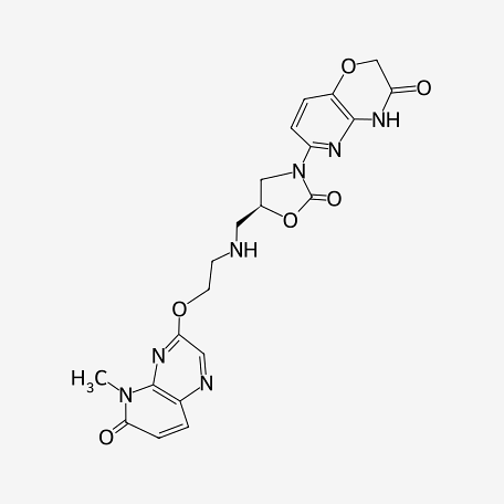 Cn1c(=O)ccc2ncc(OCCNC[C@H]3CN(c4ccc5c(n4)NC(=O)CO5)C(=O)O3)nc21